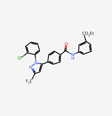 CCOC(=O)c1cccc(NC(=O)c2ccc(-c3cc(C(F)(F)F)nn3-c3ccccc3Cl)cc2)c1